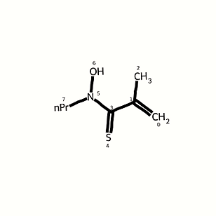 C=C(C)C(=S)N(O)CCC